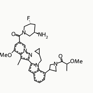 COc1cc(C(=O)N2C[C@H](N)C[C@@H](F)C2)cn2nc(-c3cc4cccc(C5CN(C(=O)C(C)OC)C5)c4n3CC3CC3)c(C)c12